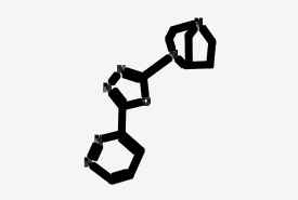 c1cnnc(-c2nnc(N3CCN4CCC3CC4)o2)c1